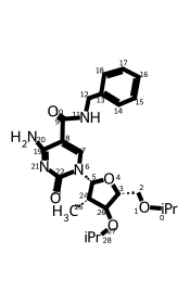 CC(C)OC[C@H]1O[C@@H](n2cc(C(=O)NCc3ccccc3)c(N)nc2=O)[C@@H](C)C1OC(C)C